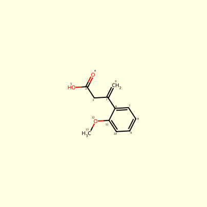 C=C(CC(=O)O)c1ccccc1OC